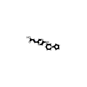 O=C(O)/C=C/c1cnc(N[C@@H]2CCCN(C3CCCC3)C2)cn1